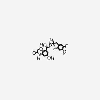 COc1cc(F)c(CC(C)(C)NC[C@H](O)c2cc(O)cc3c2OCC(=O)N3)cc1F